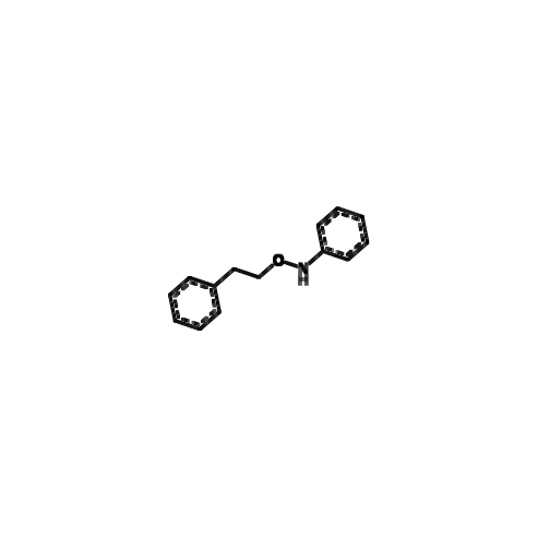 c1ccc(CCONc2ccccc2)cc1